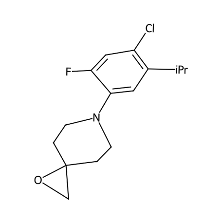 CC(C)c1cc(N2CCC3(CC2)CO3)c(F)cc1Cl